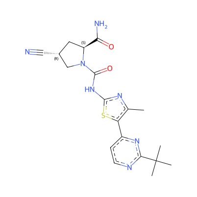 Cc1nc(NC(=O)N2C[C@H](C#N)C[C@H]2C(N)=O)sc1-c1ccnc(C(C)(C)C)n1